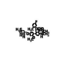 COc1cc(OCC(O)CC(C)O)ccc1-c1ccc2c(c1COc1cc(F)ccc1C)N(C)C(=O)C(C)(C)N2